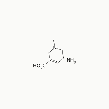 CN1CCC=C(C(=O)O)C1.N